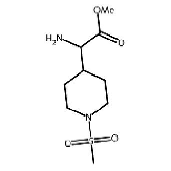 COC(=O)C(N)C1CCN(S(C)(=O)=O)CC1